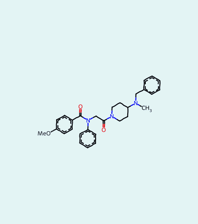 COc1ccc(C(=O)N(CC(=O)N2CCC(N(C)Cc3ccccc3)CC2)c2ccccc2)cc1